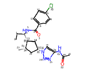 CCC(NC(=O)c1ccc(Cl)cc1)[C@@H]1C[C@H](n2cc(NC(C)=O)nn2)C[C@@H]1C